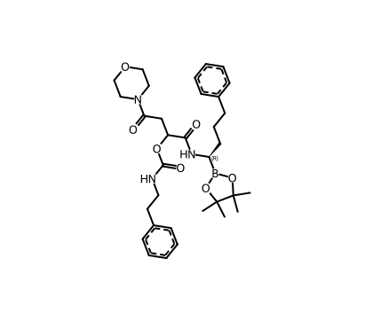 CC1(C)OB([C@H](CCCc2ccccc2)NC(=O)C(CC(=O)N2CCOCC2)OC(=O)NCCc2ccccc2)OC1(C)C